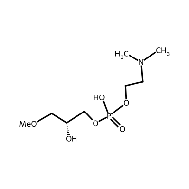 COC[C@@H](O)COP(=O)(O)OCCN(C)C